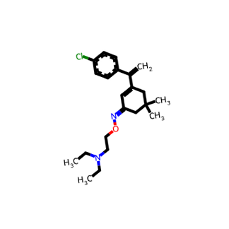 C=C(C1=C/C(=N/OCCN(CC)CC)CC(C)(C)C1)c1ccc(Cl)cc1